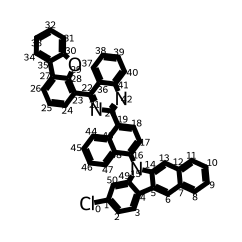 Clc1ccc2c3cc4ccccc4cc3n(-c3ccc(-c4nc(-c5cccc6c5oc5ccccc56)c5ccccc5n4)c4ccccc34)c2c1